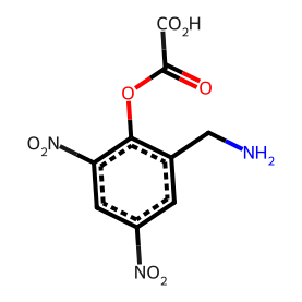 NCc1cc([N+](=O)[O-])cc([N+](=O)[O-])c1OC(=O)C(=O)O